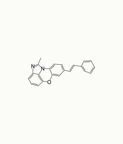 Cc1nc2cccc3c2n1-c1ccc(/C=C/c2ccccc2)cc1O3